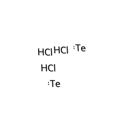 Cl.Cl.Cl.[Te].[Te]